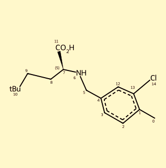 Cc1ccc(CN[C@@H](CCC(C)(C)C)C(=O)O)cc1Cl